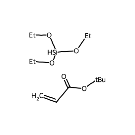 C=CC(=O)OC(C)(C)C.CCO[SiH](OCC)OCC